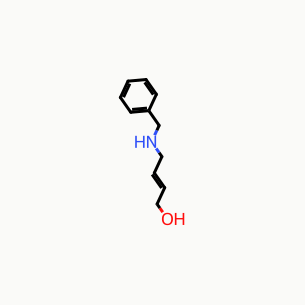 OCC=CCNCc1ccccc1